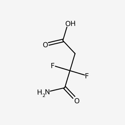 NC(=O)C(F)(F)CC(=O)O